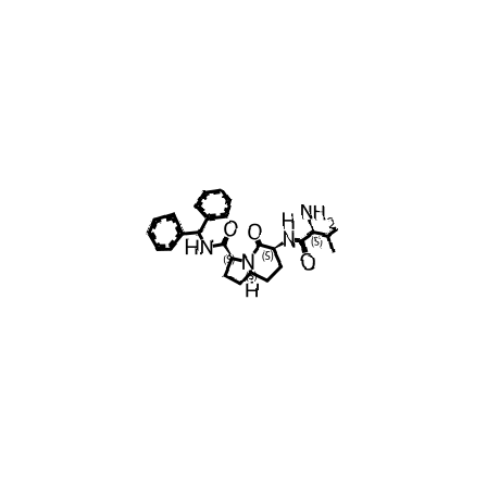 CC(C)[C@H](N)C(=O)N[C@H]1CC[C@H]2CC[C@@H](C(=O)NC(c3ccccc3)c3ccccc3)N2C1=O